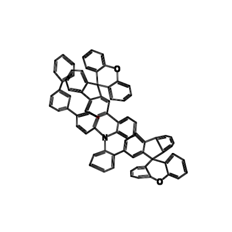 c1ccc(-c2cccc(-c3ccc(N(c4ccccc4-c4ccc5c(c4)C4(c6ccccc6Oc6ccccc64)c4ccccc4-5)c4ccccc4-c4ccc5c(c4)C4(c6ccccc6Oc6ccccc64)c4ccccc4-5)cc3)c2)cc1